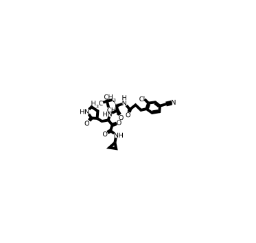 CC(C)(C)C[C@H](NC(=O)CCc1ccc(C#N)cc1Cl)C(=O)NC(CC1CCNC1=O)C(=O)C(=O)NC1CC1